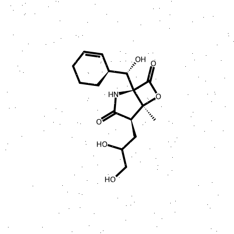 C[C@@]12OC(=O)[C@]1([C@@H](O)[C@@H]1C=CCCC1)NC(=O)[C@@H]2CC(O)CO